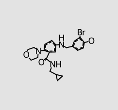 COc1ccc(CNc2ccc(N3CCOCC3)c(C(=O)NCC3CC3)c2)cc1Br